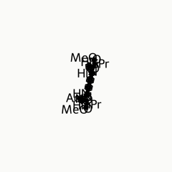 COC(=O)N[C@H](C(=O)N1CCC[C@H]1c1ncc(-c2ccc(-c3ccc(-c4cnc([C@@H]5CN(C(C)=O)CCN5C(=O)[C@@H](NC(=O)OC)C(C)C)[nH]4)cc3)cc2)[nH]1)C(C)C